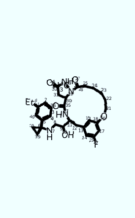 CCc1cccc(C2(NCC(O)C3Cc4cc(F)cc(c4)OCCCCCC(=O)N(C)C(CC(N)=O)C(=O)N3)CC2)c1